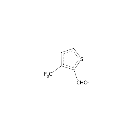 O=[C]c1sccc1C(F)(F)F